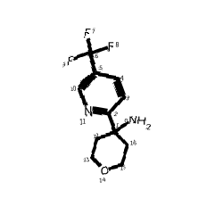 NC1(c2ccc(C(F)(F)F)cn2)CCOCC1